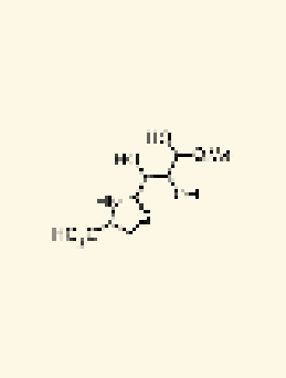 COC(O)C(O)C(O)C1NC(C(=O)O)CS1